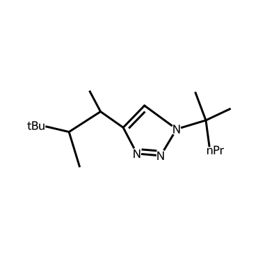 CCCC(C)(C)n1cc(C(C)C(C)C(C)(C)C)nn1